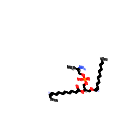 CCCCCC/C=C\CCCCCCCC(=O)O[C@H](CO/C=C\CCCCCCCCCCCCCCCCCC)COP(=O)(O)OC[C@H](N)C(=O)O